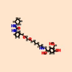 O=C(Nc1cccc(COCCOCCCCCCNC[C@@H](O)c2ccc(O)c(CO)c2)c1)NC1CCCCC1